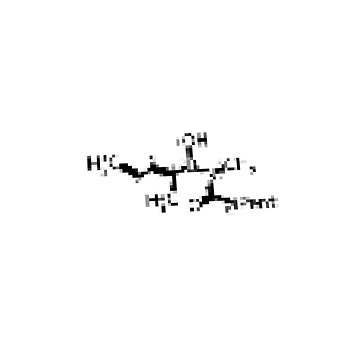 C=C/C=C(\C)B(O)N(C)C(=O)C(C)CCC